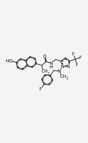 CC(C(=O)NCc1cc(C(F)(F)F)nn1N(C)Cc1ccc(F)cc1)c1ccc2cc(O)ccc2c1